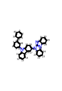 c1ccc(-c2cccc(-n3c4ccccc4c4cc(-n5c6ccccc6n6c7ccccc7nc56)ccc43)c2)cc1